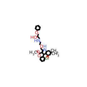 COC(=O)C1=C(COCCNCC(O)COc2ccccc2)NC2=C(C(=O)CC(C)(C)C2)C1c1ccccc1Cl